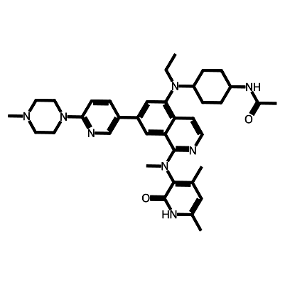 CCN(c1cc(-c2ccc(N3CCN(C)CC3)nc2)cc2c(N(C)c3c(C)cc(C)[nH]c3=O)nccc12)C1CCC(NC(C)=O)CC1